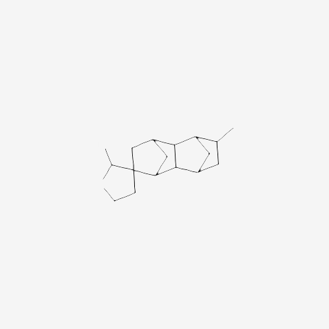 CC1CC2CC1C1C3CC(C21)C1(CCOC1O)C3